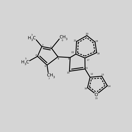 CC1=C(C)C(C)=C(C)[C]1C1C=C(c2ccoc2)c2ccccc21